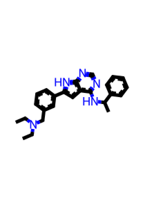 CCN(CC)Cc1cccc(-c2cc3c(NC(C)c4ccccc4)ncnc3[nH]2)c1